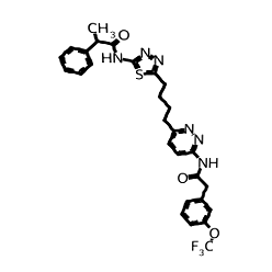 CC(C(=O)Nc1nnc(CCCCc2ccc(NC(=O)Cc3cccc(OC(F)(F)F)c3)nn2)s1)c1ccccc1